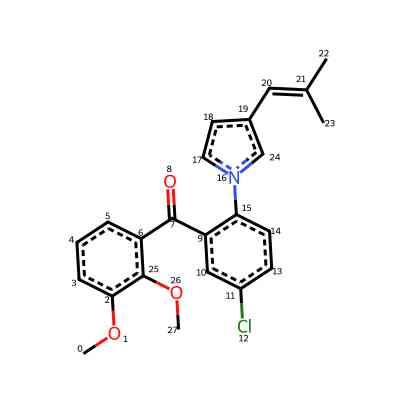 COc1cccc(C(=O)c2cc(Cl)ccc2-n2ccc(C=C(C)C)c2)c1OC